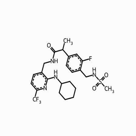 CC(C(=O)NCc1ccc(C(F)(F)F)nc1NC1CCCCC1)c1ccc(CNS(C)(=O)=O)c(F)c1